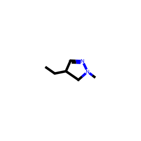 CCC1[C]N(C)N=[C]1